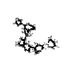 c1cc2[nH]c(-c3n[nH]c4ccc(-c5cncc(CN6CCCCC6)c5)nc34)cc2c(-c2ccoc2)n1